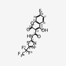 O=C(Nc1nnc(C(F)(F)C(F)(F)F)s1)c1c(O)c2ccc(F)cc2oc1=O